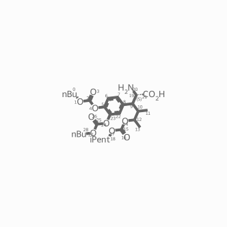 CCCCOC(=O)Oc1ccc(C(C(C)C(C)OC(=O)OC(C)CCC)[C@H](N)C(=O)O)cc1OC(=O)OCCCC